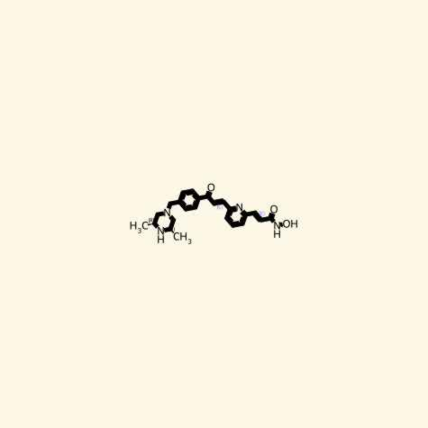 C[C@@H]1CN(Cc2ccc(C(=O)/C=C/c3cccc(/C=C/C(=O)NO)n3)cc2)C[C@H](C)N1